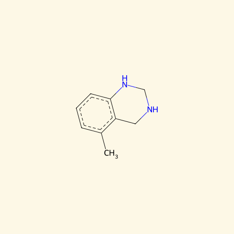 Cc1cccc2c1CNCN2